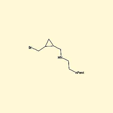 CCCCCCCNCC1CC1CBr